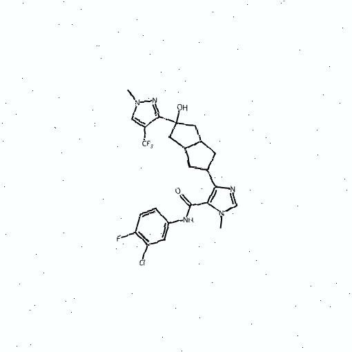 Cn1cc(C(F)(F)F)c(C2(O)CC3CC(c4ncn(C)c4C(=O)Nc4ccc(F)c(Cl)c4)CC3C2)n1